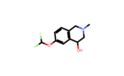 CN1Cc2ccc(OC(F)F)cc2C(O)C1